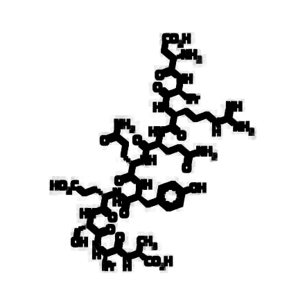 CC(C)[C@H](NC(=O)[C@H](CO)NC(=O)[C@H](CCC(=O)O)NC(=O)[C@H](Cc1ccc(O)cc1)NC(=O)[C@H](CCC(N)=O)NC(=O)[C@H](CCC(N)=O)NC(=O)[C@H](CCCNC(=N)N)NC(=O)[C@@H](NC(=O)[C@@H](N)CC(=O)O)C(C)C)C(=O)N[C@@H](C)C(=O)O